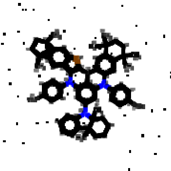 CC(C)(C)c1ccc(N2c3cc4c(cc3B3c5sc6cc7c(cc6c5N(c5ccc(C(C)(C)C)cc5)c5cc(N6c8ccccc8C8(C)CCCCC68C)cc2c53)C2(C)CCC7(C)C2)C(C)(C)CCC4(C)C)cc1